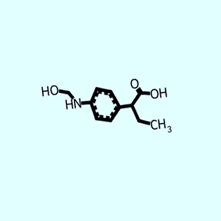 CCC(C(=O)O)c1ccc(NCO)cc1